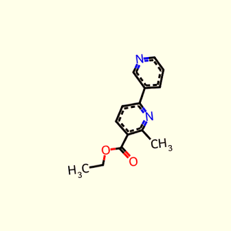 CCOC(=O)c1ccc(-c2cccnc2)nc1C